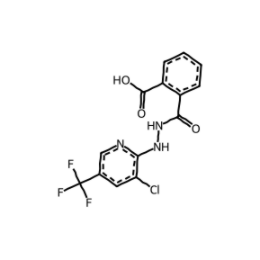 O=C(O)c1ccccc1C(=O)NNc1ncc(C(F)(F)F)cc1Cl